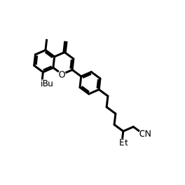 C=C1C=C(c2ccc(CCCCC(CC)CC#N)cc2)Oc2c(C(C)CC)ccc(C)c21